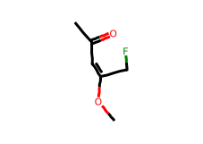 COC(=CC(C)=O)CF